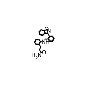 NC(=O)CCc1ccccc1NCc1ccccc1-c1noc2ccccc12